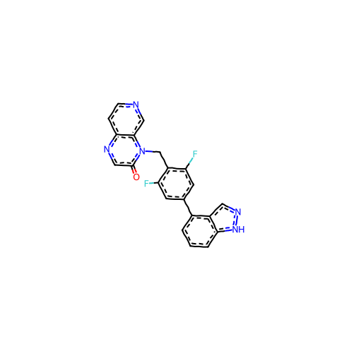 O=c1cnc2ccncc2n1Cc1c(F)cc(-c2cccc3[nH]ncc23)cc1F